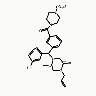 C=CCN1C[C@@H](C)N(C(c2cccc(O)c2)c2cccc(C(=O)N3CCN(C(=O)OCC)CC3)c2)C[C@H]1C